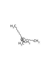 CCCCCCCCCCC[n+]1ccn(C(C)C)c1CCCCCCCCC